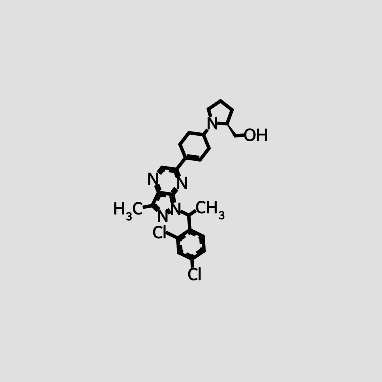 Cc1nn(C(C)c2ccc(Cl)cc2Cl)c2nc(C3=CCC(N4CCC[C@H]4CO)CC3)cnc12